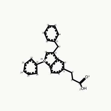 O=C(O)CCc1ccc2c(c1)c(Cc1ccccc1)cn2-c1ccccc1